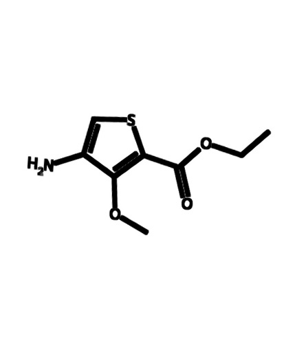 CCOC(=O)c1scc(N)c1OC